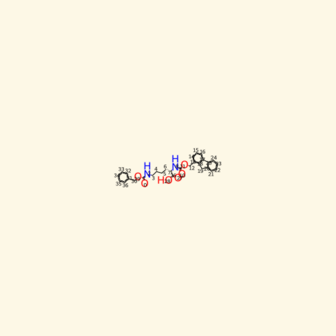 O=C(NCCCC[C@H](NC(=O)OCc1cccc2c1Cc1ccccc1-2)C(=O)O)OCc1ccccc1